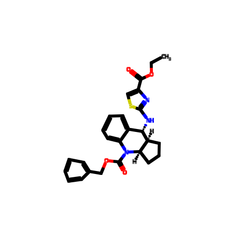 CCOC(=O)c1csc(N[C@H]2c3ccccc3N(C(=O)OCc3ccccc3)[C@@H]3CCC[C@@H]32)n1